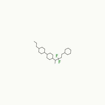 CCCC1CCC(C2CCC(C(C)C(F)(F)CCC3CCCCC3)CC2)CC1